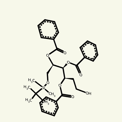 CC(C)(C)[Si](C)(C)OC[C@@H](OC(=O)c1ccccc1)[C@@H](OC(=O)c1ccccc1)[C@@H](CCO)OC(=O)c1ccccc1